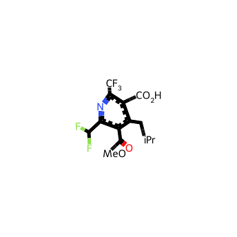 COC(=O)c1c(C(F)F)nc(C(F)(F)F)c(C(=O)O)c1CC(C)C